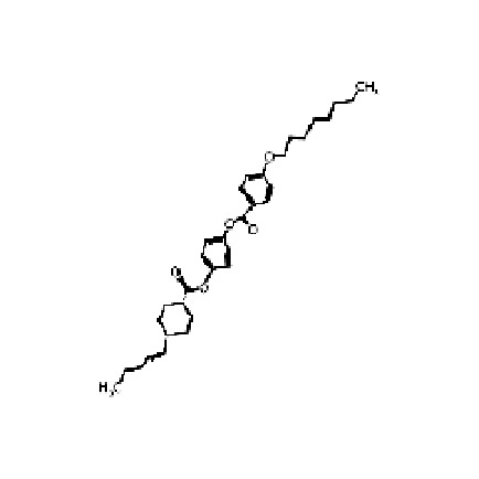 CCCC=C[C@H]1CC[C@H](C(=O)Oc2ccc(OC(=O)c3ccc(OCCCCCCCC)cc3)cc2)CC1